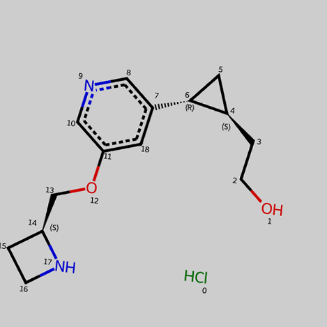 Cl.OCC[C@@H]1C[C@H]1c1cncc(OC[C@@H]2CCN2)c1